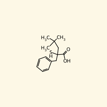 CC(C)(C)CC(S)(Cc1ccccc1)C(=O)O